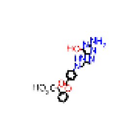 Nc1nc(O)c2nc(CNc3ccc(C(=O)O[C@H](C(=O)O)c4ccccc4)cc3)cnc2n1